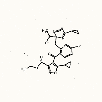 CCOC(=O)c1noc(C2CC2)c1C(=O)c1ccc(Br)cc1CC1([S+](C)[O-])N=NC(C2CC2)=N1